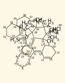 CC12C(=C3Cc4ccccc4C3=C3C=CCCC31)[C](C)([Zr](=[SiH2])([C]1=CC=CC1)([CH]1CCCCC1)[CH]1CCCCC1)C(C)(C)C(C)(C)C2(C)C.Cl.Cl